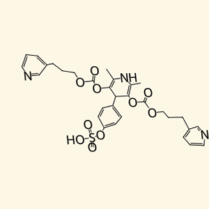 CC1=C(OC(=O)OCCCc2cccnc2)C(c2ccc(OS(=O)(=O)O)cc2)C(OC(=O)OCCCc2cccnc2)=C(C)N1